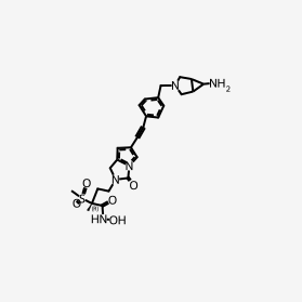 C[C@@](CCN1Cc2cc(C#Cc3ccc(CN4CC5C(N)C5C4)cc3)cn2C1=O)(C(=O)NO)S(C)(=O)=O